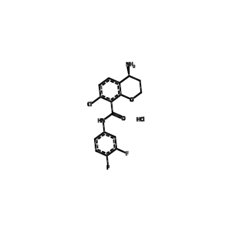 Cl.N[C@H]1CCOc2c1ccc(Cl)c2C(=O)Nc1ccc(F)c(F)c1